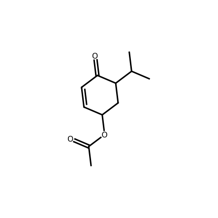 CC(=O)OC1C=CC(=O)C(C(C)C)C1